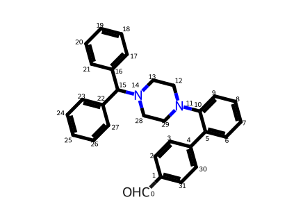 O=Cc1ccc(-c2ccccc2N2CCN(C(c3ccccc3)c3ccccc3)CC2)cc1